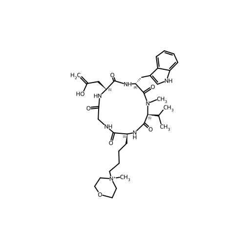 C=C(O)C[C@@H]1NC(=O)CNC(=O)[C@H](CCCC[N+]2(C)CCOCC2)NC(=O)[C@H](C(C)C)N(C)C(=O)[C@@H](Cc2c[nH]c3ccccc23)NC1=O